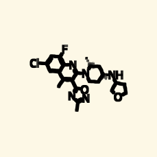 Cc1noc(-c2c(N3CC[C@@H](NC4CCOC4)C[C@H]3C)nc3c(F)cc(Cl)cc3c2C)n1